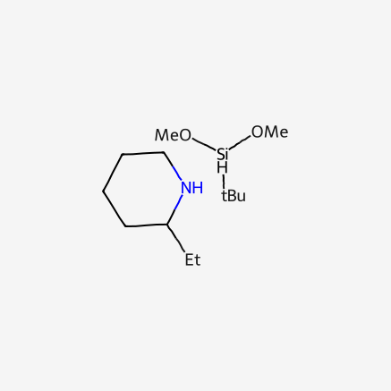 CCC1CCCCN1.CO[SiH](OC)C(C)(C)C